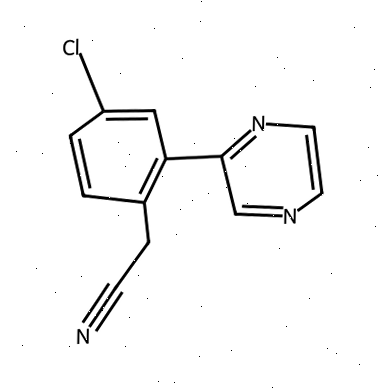 N#CCc1ccc(Cl)cc1-c1cnccn1